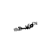 CC(C)(C)[Si](C)(C)OCCCCc1cn(Cc2ccc(C#N)cc2F)cn1